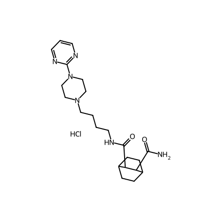 Cl.NC(=O)C1C2CCC(CC2)C1C(=O)NCCCCN1CCN(c2ncccn2)CC1